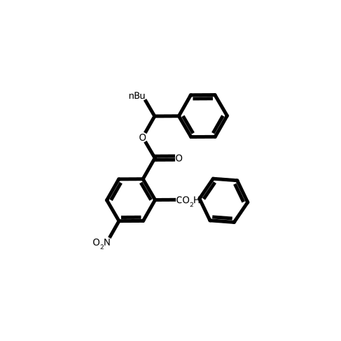 CCCCC(OC(=O)c1ccc([N+](=O)[O-])cc1C(=O)O)c1ccccc1.c1ccccc1